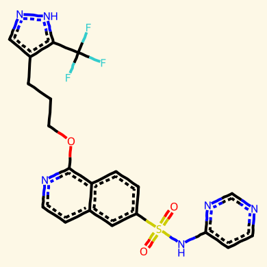 O=S(=O)(Nc1ccncn1)c1ccc2c(OCCCc3cn[nH]c3C(F)(F)F)nccc2c1